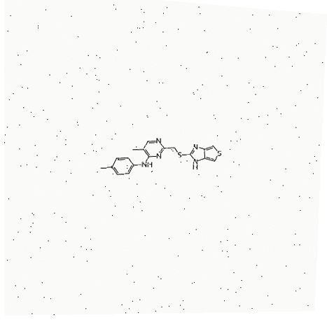 Cc1ccc(Nc2nc(CSc3nc4cscc4[nH]3)ncc2C)cc1